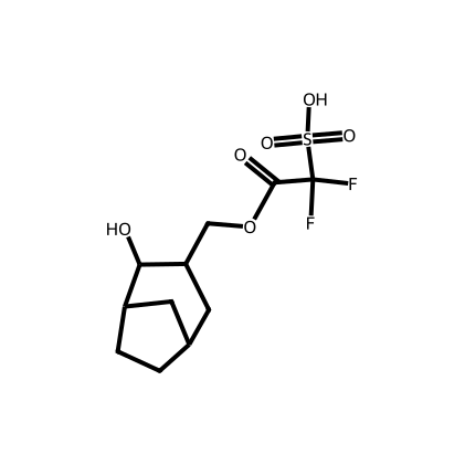 O=C(OCC1CC2CCC(C2)C1O)C(F)(F)S(=O)(=O)O